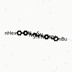 CCCCCCC1CCC(c2ccc(N=Nc3cc4sc(N=Nc5ccc(NCC6CCC(CCCC)CC6)cc5)nc4s3)cc2)CC1